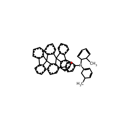 CC1C=CC=C(N(c2ccc(-c3cccc4c3C3(c5ccccc5-c5ccccc53)c3ccccc3C43c4ccccc4-c4ccccc43)cc2)C2C=CC=CC2C)C1